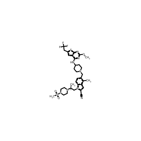 COc1nc(NC2CCN(Cc3ccc4c(cc(C#N)n4C[C@H](C)N4CCN(S(C)(=O)=O)CC4)c3C)CC2)c2cc(CC(F)(F)F)sc2n1